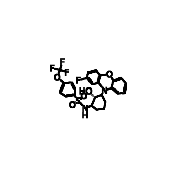 O=S(=O)(NC1CCCC(N2c3ccccc3Oc3ccc(F)cc32)[C@H]1O)c1ccc(OC(F)(F)F)cc1